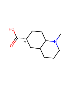 CN1CCCC2C[C@H](C(=O)O)CCC21